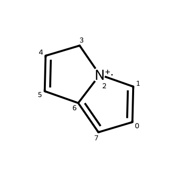 C1=C[N+]2CC=CC2=C1